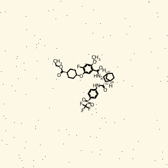 CCOC(=O)[C@H]1CC[C@@H](Oc2cc(C(=O)N[C@@H]3[C@H]4CC[C@H](C4)[C@@H]3C(=O)Nc3ccc(S(=O)(=O)C(F)(F)F)cc3)c(OC)cc2F)CC1